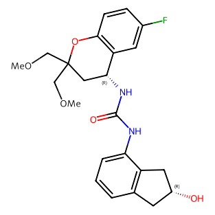 COCC1(COC)C[C@@H](NC(=O)Nc2cccc3c2C[C@H](O)C3)c2cc(F)ccc2O1